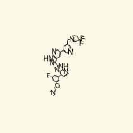 CN(C)CCOc1cc(F)cc(-c2ccnc3[nH]c(-c4n[nH]c5ncc(-c6cncc(CN7CCC(F)(F)C7)c6)cc45)nc23)c1